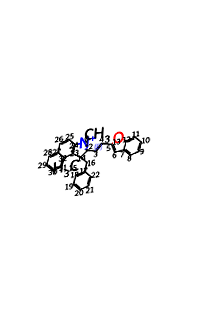 C[N+]1=C(/C=C/c2cc3ccccc3o2)C(C)(Cc2ccccc2)c2c1ccc1ccccc21